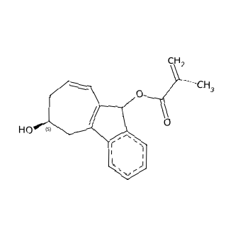 C=C(C)C(=O)OC1C2=C(C[C@@H](O)CC=C2)c2ccccc21